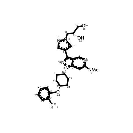 CNc1cc2c(cn1)c(-c1cnn(C[C@@H](O)CO)c1)nn2[C@H]1CC[C@@H](Oc2ccccc2C(F)(F)F)CC1